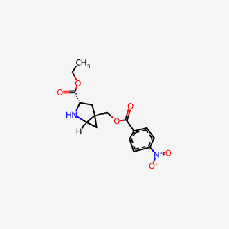 CCOC(=O)[C@@H]1C[C@]2(COC(=O)c3ccc([N+](=O)[O-])cc3)C[C@@H]2N1